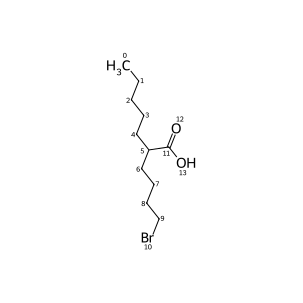 CCCCCC(CCCCBr)C(=O)O